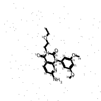 CCOCCn1c(=O)c2ccc(N)nc2n(-c2cc(OC)cc(OC)c2)c1=O